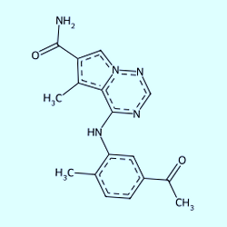 CC(=O)c1ccc(C)c(Nc2ncnn3cc(C(N)=O)c(C)c23)c1